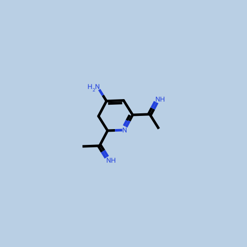 CC(=N)C1=NC(C(C)=N)CC(N)=C1